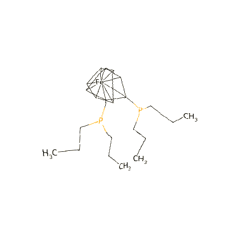 CCCP(CCC)[C]12[CH]3[CH]4[CH]5[C]1(P(CCC)CCC)[Fe]43521678[CH]2[CH]1[CH]6[CH]7[CH]28